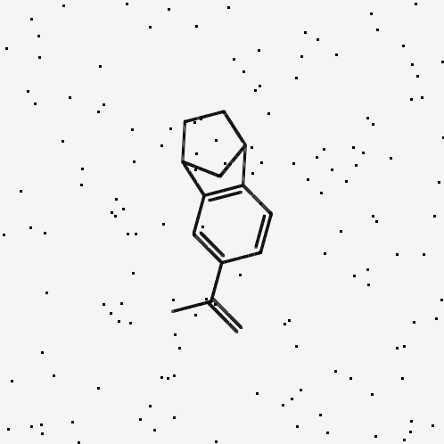 C=C(C)c1ccc2c(c1)C1CCC2C1